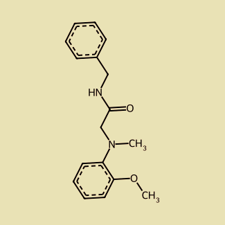 COc1ccccc1N(C)CC(=O)NCc1ccccc1